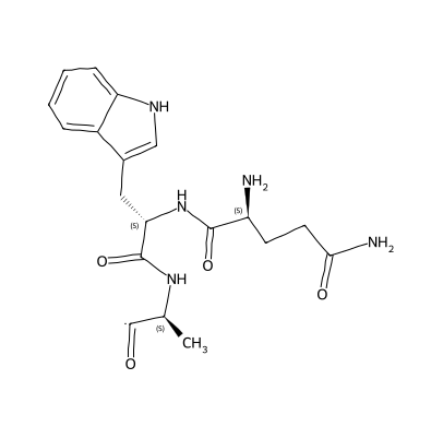 C[C@@H]([C]=O)NC(=O)[C@H](Cc1c[nH]c2ccccc12)NC(=O)[C@@H](N)CCC(N)=O